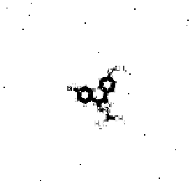 COc1ccc(-c2nn(C(C)C)nc2-c2ccc(Br)cc2)cc1